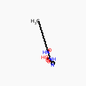 CCC=CCC=CCC=CCC=CCC=CCC=CCCC(=O)NCCCC(NC(=O)c1cccnc1)C(=O)O